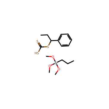 CCC(SC(=S)S)c1ccccc1.CCC[Si](OC)(OC)OC